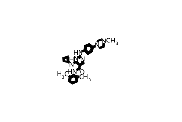 Cc1cccc(C)c1NC(=O)c1cnc(Nc2ccc(N3CCN(C)CC3)cc2)nc1NC1CCC1